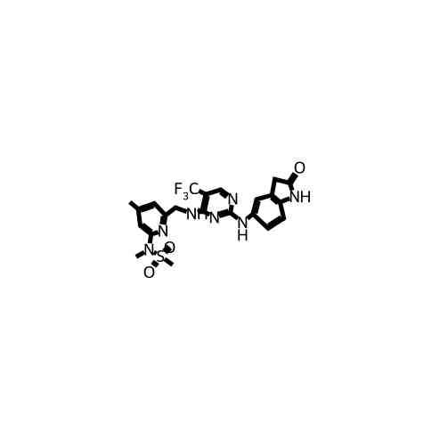 Cc1cc(CNc2nc(Nc3ccc4c(c3)CC(=O)N4)ncc2C(F)(F)F)nc(N(C)S(C)(=O)=O)c1